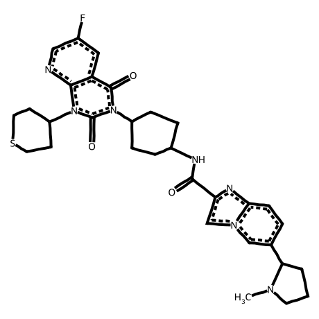 CN1CCCC1c1ccc2nc(C(=O)NC3CCC(n4c(=O)c5cc(F)cnc5n(C5CCSCC5)c4=O)CC3)cn2c1